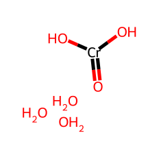 O.O.O.[O]=[Cr]([OH])[OH]